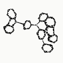 c1ccc(-c2ccc(N(c3ccc(-n4c5ccccc5c5ccccc54)cc3)c3cccc4ccc5c6ccccc6sc5c34)cc2)cc1